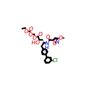 CCOC(=O)OCOC(=O)C(O)C[C@@H](Cc1ccc(-c2cccc(Cl)c2)cc1)NC(=O)c1cc(OC)no1